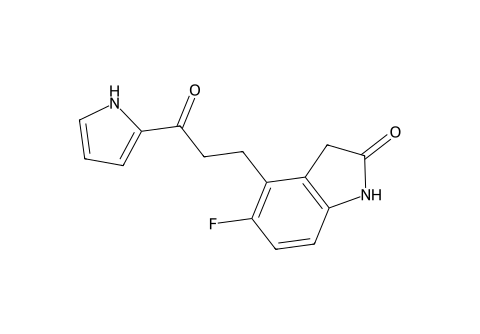 O=C1Cc2c(ccc(F)c2CCC(=O)c2ccc[nH]2)N1